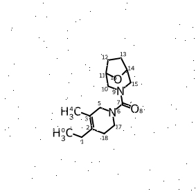 CCC1=C(C)CN(C(=O)N2CC3CCC(C2)O3)CC1